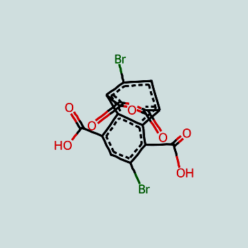 O=C(O)c1c(Br)cc(C(=O)O)c2c3c(Br)cc(c(=O)oc3=O)c12